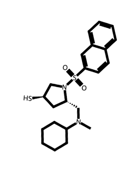 CN(C[C@@H]1C[C@@H](S)CN1S(=O)(=O)c1ccc2ccccc2c1)C1CCCCC1